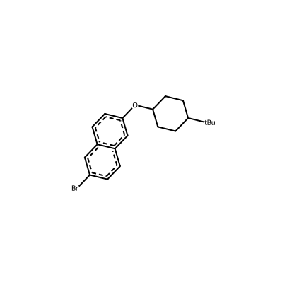 CC(C)(C)C1CCC(Oc2ccc3cc(Br)ccc3c2)CC1